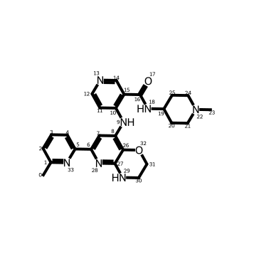 Cc1cccc(-c2cc(Nc3ccncc3C(=O)NC3CCN(C)CC3)c3c(n2)NCCO3)n1